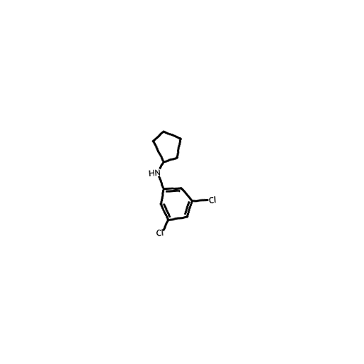 Clc1cc(Cl)cc(NC2CCCC2)c1